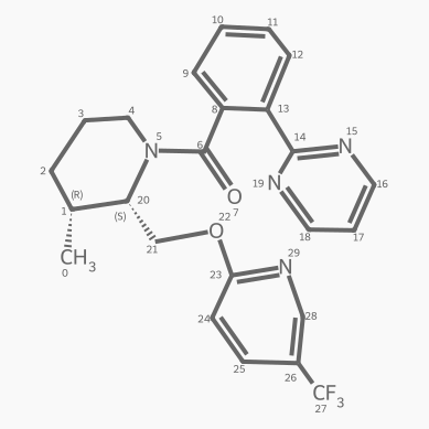 C[C@@H]1CCCN(C(=O)c2ccccc2-c2ncccn2)[C@@H]1COc1ccc(C(F)(F)F)cn1